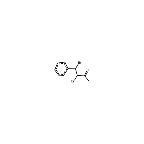 CC(=O)C(Br)C(Br)c1ccccc1